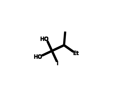 CCC(C)C(O)(O)I